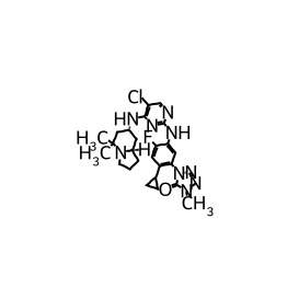 Cn1nnn(-c2cc(Nc3ncc(Cl)c(N[C@@H]4C[C@@H]5CCCN5C(C)(C)C4)n3)c(F)cc2C2CC2)c1=O